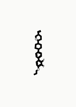 C=CC1CCC(C2CCC(c3ccc(-c4ccc(OCCC)c(F)c4F)cc3)CC2)OC1